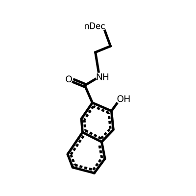 CCCCCCCCCCCCNC(=O)c1cc2ccccc2cc1O